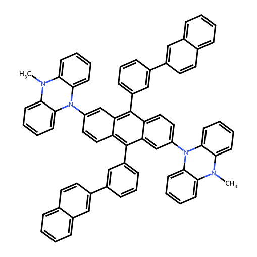 CN1c2ccccc2N(c2ccc3c(-c4cccc(-c5ccc6ccccc6c5)c4)c4cc(N5c6ccccc6N(C)c6ccccc65)ccc4c(-c4cccc(-c5ccc6ccccc6c5)c4)c3c2)c2ccccc21